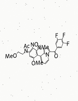 CNc1c(-c2cccn3c(C(=O)c4cc(F)c(F)c(F)c4)ccc23)c(OC)cc(N(CCOC)C(C)=O)c1[N+](=O)[O-]